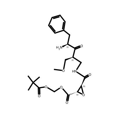 COC[C@H](CNC(=O)[C@H]1O[C@@H]1C(=O)OCOC(=O)C(C)(C)C)C(=O)[C@@H](N)Cc1ccccc1